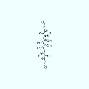 O=NN(C[C@@H](O)[C@@H](O)[C@H](O)[C@H](O)CN(N=O)C(=O)NCCCl)C(=O)NCCCl